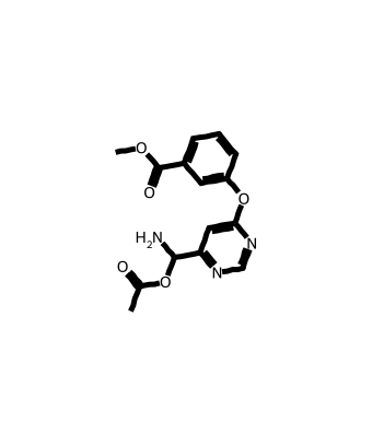 COC(=O)c1cccc(Oc2cc(C(N)OC(C)=O)ncn2)c1